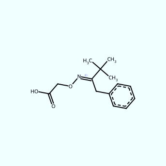 CC(C)(C)/C(Cc1ccccc1)=N/OCC(=O)O